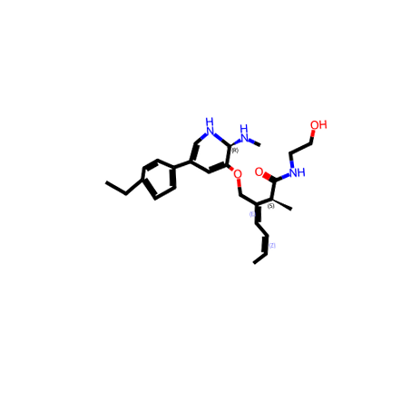 C/C=C\C=C(\COC1=CC(c2ccc(CC)cc2)=CN[C@H]1NC)[C@H](C)C(=O)NCCO